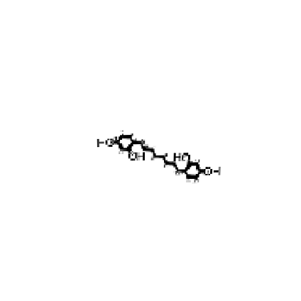 Oc1ccc(CCCCCCCCc2ccc(O)cc2O)c(O)c1